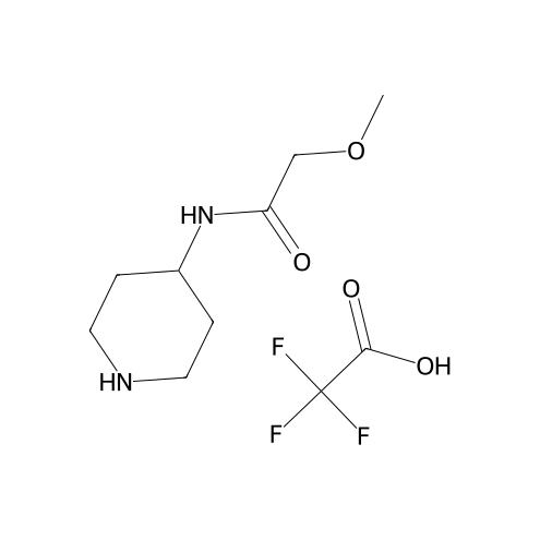 COCC(=O)NC1CCNCC1.O=C(O)C(F)(F)F